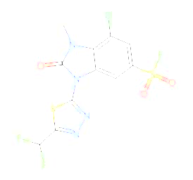 Cn1c(=O)n(-c2nnc(C(F)F)s2)c2cc(S(=O)(=O)F)cc(Cl)c21